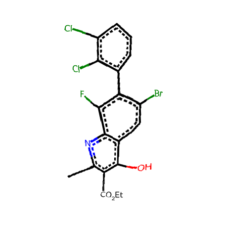 CCOC(=O)c1c(C)nc2c(F)c(-c3cccc(Cl)c3Cl)c(Br)cc2c1O